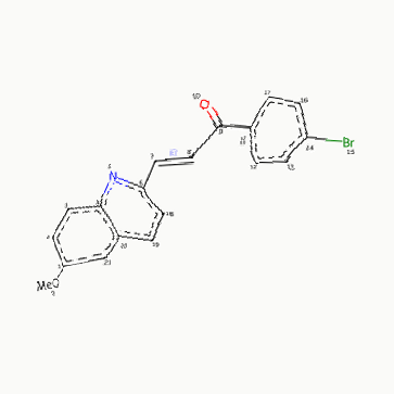 COc1ccc2nc(/C=C/C(=O)c3ccc(Br)cc3)ccc2c1